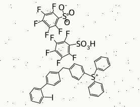 Ic1ccccc1-c1ccc(Cc2ccc([S+](c3ccccc3)c3ccccc3)cc2)cc1.O=S(=O)(O)c1c(F)c(F)c(F)c(F)c1F.O=S(=O)([O-])c1c(F)c(F)c(F)c(F)c1F